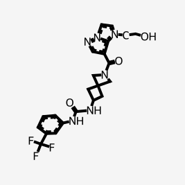 O=C(Nc1cccc(C(F)(F)F)c1)NC1CC2(C1)CN(C(=O)c1cnn3ccn(CCO)c13)C2